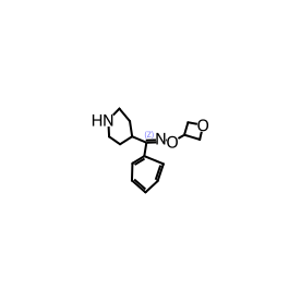 c1ccc(/C(=N\OC2COC2)C2CCNCC2)cc1